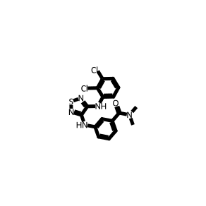 CN(C)C(=O)c1cccc(Nc2nsnc2Nc2cccc(Cl)c2Cl)c1